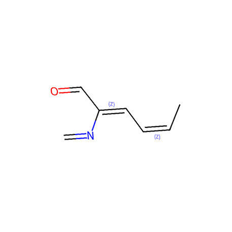 C=N/C(C=O)=C\C=C/C